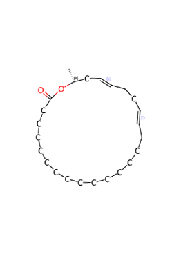 C[C@@H]1C/C=C/CC/C=C/CCCCCCCCCCCCCCC(=O)O1